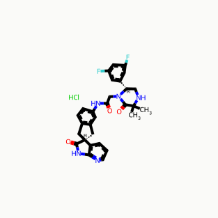 CC1(C)NC[C@@H](c2cc(F)cc(F)c2)N(CC(=O)Nc2ccc3c(c2)C[C@@]2(C3)C(=O)Nc3ncccc32)C1=O.Cl